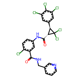 O=C(NCc1cccnc1)c1cc(NC(=O)[C@@H]2[C@@H](c3cc(Cl)c(Cl)c(Cl)c3)C2(Cl)Cl)ccc1Cl